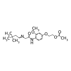 COc1cc(OCCOC(C)=O)ccc1NC(=O)C/N=C/CC(C)(C)C